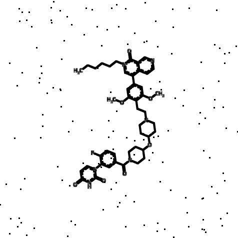 CCCCCCn1cc(-c2cc(OC)c(CCN3CCC(OC4CCN(C(=O)c5ccc(F)c(-n6ccc(=O)[nH]c6=O)c5)CC4)CC3)c(OC)c2)c2ccncc2c1=O